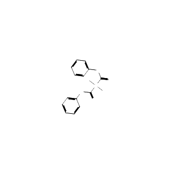 CS(C)(C(=O)Oc1ccccc1)C(=O)Oc1ccccc1